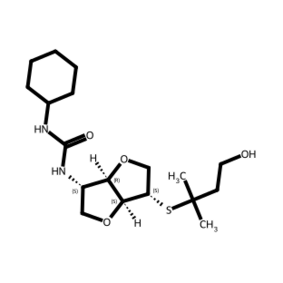 CC(C)(CCO)S[C@H]1CO[C@H]2[C@@H]1OC[C@@H]2NC(=O)NC1CCCCC1